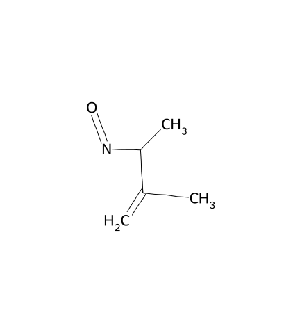 C=C(C)C(C)N=O